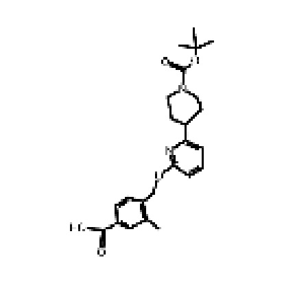 Cc1cc(C(=O)O)ccc1COc1cccc(C2CCN(C(=O)OC(C)(C)C)CC2)n1